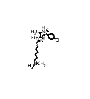 CCn1c(SCCCCCCN(C)C)nnc1[C@@H](C)NS(=O)(=O)c1ccc(Cl)cc1